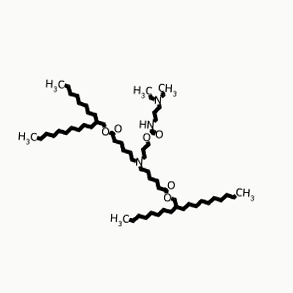 CCCCCCCCCCC(CCCCCCCC)COC(=O)CCCCCN(CCCCCC(=O)OCC(CCCCCCCC)CCCCCCCCCC)CCCOC(=O)NCCCN(CC)CC